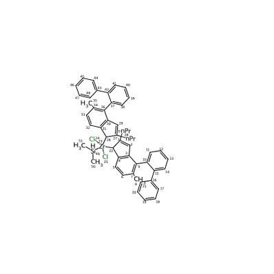 CCCC1=Cc2c(ccc(C)c2-c2ccccc2-c2ccccc2)[CH]1[Zr]([Cl])([Cl])([CH]1C(CCC)=Cc2c1ccc(C)c2-c1ccccc1-c1ccccc1)[SiH](C)C